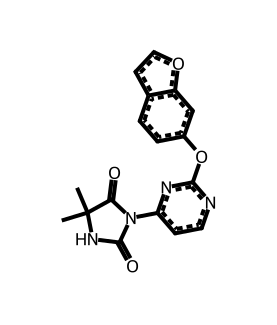 CC1(C)NC(=O)N(c2ccnc(Oc3ccc4ccoc4c3)n2)C1=O